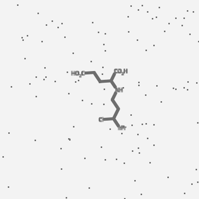 CCCC(Cl)CCNC(CCC(=O)O)C(=O)O